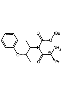 CC(Oc1ccccc1)C(C)N(C(=O)OC(C)(C)C)C(=O)[C@@H](N)C(C)C